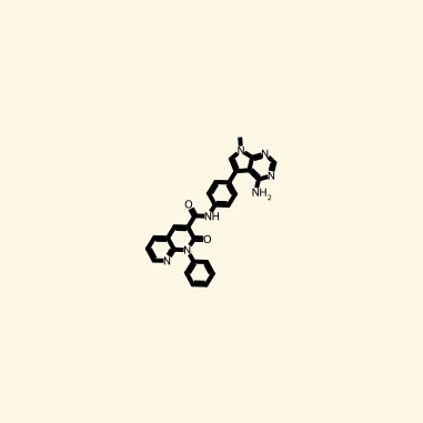 Cn1cc(-c2ccc(NC(=O)c3cc4cccnc4n(-c4ccccc4)c3=O)cc2)c2c(N)ncnc21